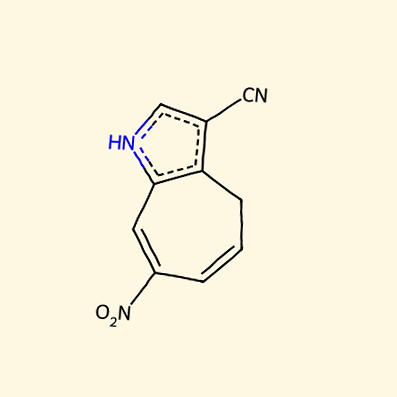 N#Cc1c[nH]c2c1CC=CC([N+](=O)[O-])=C2